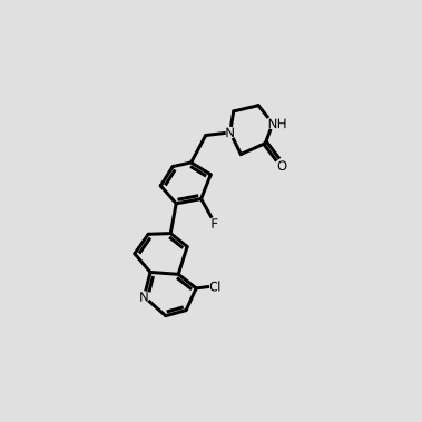 O=C1CN(Cc2ccc(-c3ccc4nccc(Cl)c4c3)c(F)c2)CCN1